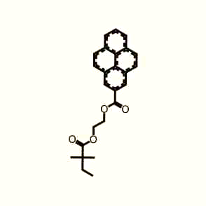 CCC(C)(C)C(=O)OCCOC(=O)c1cc2ccc3cccc4ccc(c1)c2c34